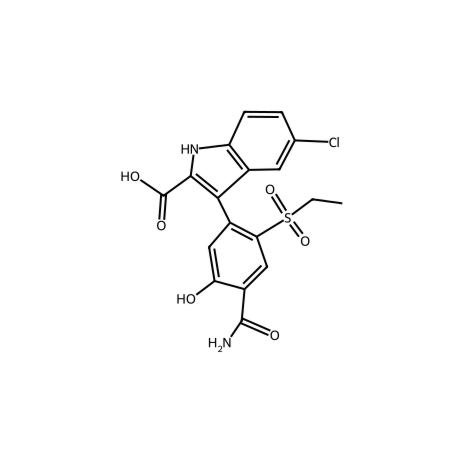 CCS(=O)(=O)c1cc(C(N)=O)c(O)cc1-c1c(C(=O)O)[nH]c2ccc(Cl)cc12